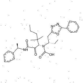 CCCC(C)(C)[C@@H](C(=O)C(=O)N[C@H](C)c1ccccc1)N(C(=O)O)[C@@H](CC)Cc1nnc(-c2ccccc2)o1